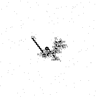 CCCCCCCCCCCCCCCC(=O)N[C@H](C(=O)N[C@H](C(=O)N[C@@H](Cc1ccccc1)C(=O)N[C@@H](CCCNC(=N)N)C(=O)N[C@@H](CO)C(=O)N[C@@H](C)C(=O)N[C@@H](CCCNC(=N)N)C(=O)N[C@@H](CCC(=O)O)C(C)=O)C(C)C)[C@@H](C)O